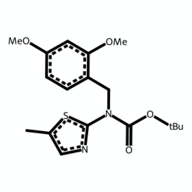 COc1ccc(CN(C(=O)OC(C)(C)C)c2ncc(C)s2)c(OC)c1